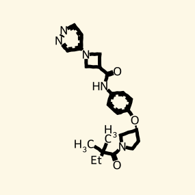 CCC(C)(C)C(=O)N1CC[C@@H](Oc2ccc(NC(=O)C3CN(c4ccnnc4)C3)cc2)C1